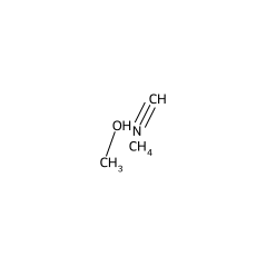 C.C#N.CO